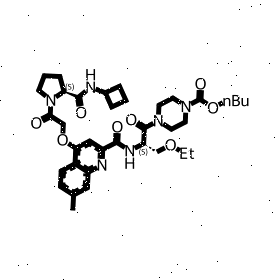 CCCCOC(=O)N1CCN(C(=O)[C@H](COCC)NC(=O)c2cc(OCC(=O)N3CCC[C@H]3C(=O)NC3CCC3)c3ccc(C)cc3n2)CC1